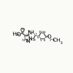 CCOc1ccc(-c2cnc3c(C(=O)O)cnn3c2)cc1